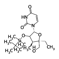 CC[C@@]1(CO)O[C@@H](n2ccc(=O)[nH]c2=O)C(O[Si](C)(C)C(C)(C)C)[C@@H]1C